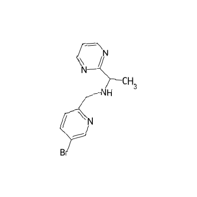 CC(NCc1ccc(Br)cn1)c1ncccn1